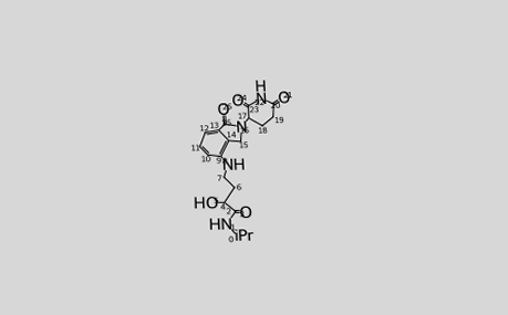 CC(C)NC(=O)C(O)CCNc1cccc2c1CN(C1CCC(=O)NC1=O)C2=O